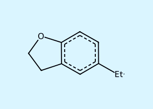 C[CH]c1ccc2c(c1)CCO2